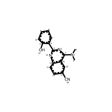 CN(C)c1nc(-c2ccccc2O)nc2ccc(C#N)cc12